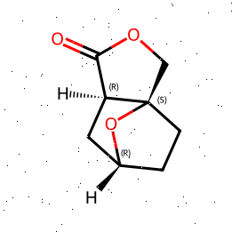 O=C1OC[C@]23CC[C@H](C[C@@H]12)O3